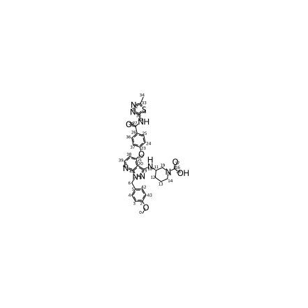 COc1ccc(Cn2nc(N[C@@H]3CCCN(C(=O)O)C3)c3c(Oc4ccc(C(=O)Nc5nnc(C)s5)cc4)ccnc32)cc1